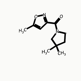 Cc1cc(C(=O)N2[CH]CC(C)(C)C2)no1